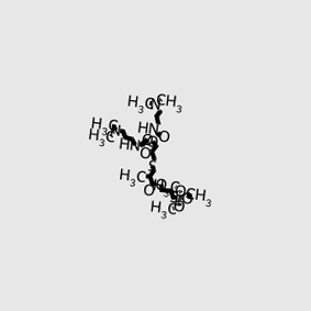 CO[Si](CCCOC(=O)C(C)CSCC(COC(=O)NCCCN(C)C)OC(=O)NCCCN(C)C)(OC)OC